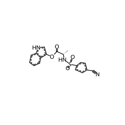 C[C@H](NS(=O)(=O)c1ccc(C#N)cc1)C(=O)Oc1c[nH]c2ccccc12